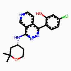 CC1(C)C[C@H](Nc2nnc(-c3ccc(Cl)cc3O)c3ccncc23)CCO1